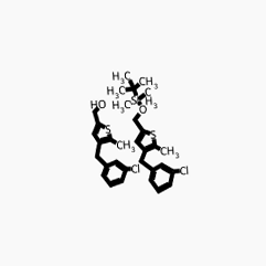 Cc1sc(CO)cc1Cc1cccc(Cl)c1.Cc1sc(CO[Si](C)(C)C(C)(C)C)cc1Cc1cccc(Cl)c1